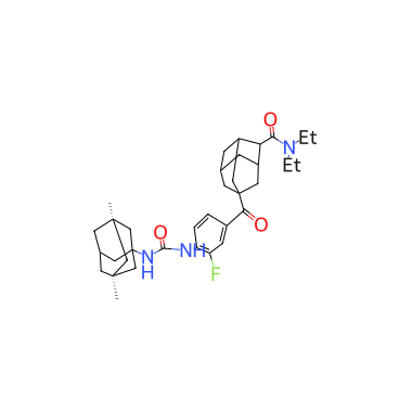 CCN(CC)C(=O)C1C2CC3CC1CC(C(=O)c1ccc(NC(=O)NC45CC6C[C@@](C)(C4)C[C@](C)(C6)C5)c(F)c1)(C3)C2